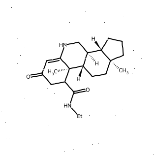 CCNC(=O)C1CC(=O)C=C2NC[C@H]3[C@@H]4CCC[C@@]4(C)CC[C@@H]3[C@]21C